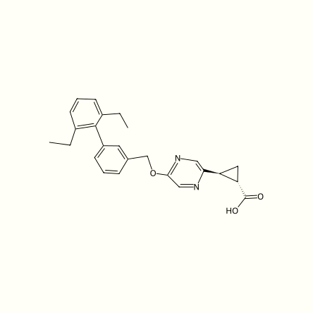 CCc1cccc(CC)c1-c1cccc(COc2cnc([C@H]3C[C@@H]3C(=O)O)cn2)c1